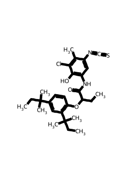 CCC(Oc1ccc(C(C)(C)CC)cc1C(C)(C)CC)C(=O)Nc1cc(N=C=S)c(C)c(Cl)c1O